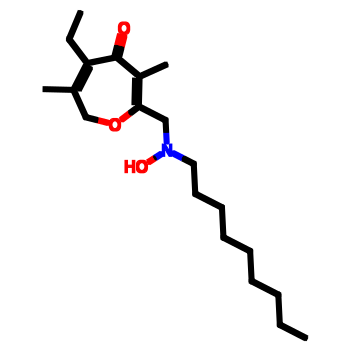 CCCCCCCCCN(O)CC1=C(C)C(=O)C(CC)=C(C)CO1